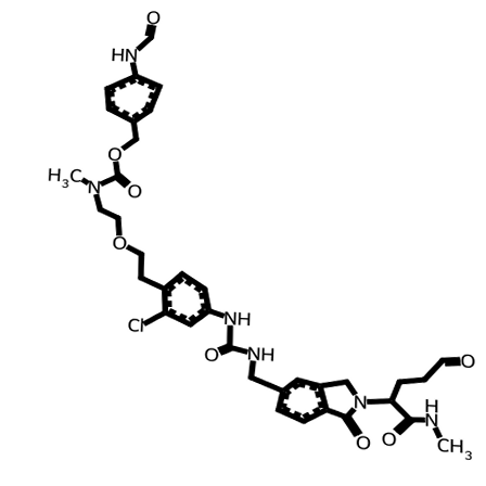 CNC(=O)C(CCC=O)N1Cc2cc(CNC(=O)Nc3ccc(CCOCCN(C)C(=O)OCc4ccc(NC=O)cc4)c(Cl)c3)ccc2C1=O